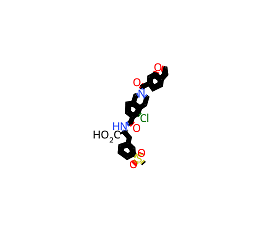 CS(=O)(=O)c1cccc(C[C@H](NC(=O)c2ccc3c(c2Cl)CCN(C(=O)c2ccc4ccoc4c2)C3)C(=O)O)c1